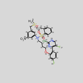 C[S+]([O-])Cc1cc(N(CCCCOc2cc(F)ccc2-c2nc(Cl)ncc2F)S(=O)(=O)c2ccccc2[N+](=O)[O-])cc([N+](=O)[O-])c1